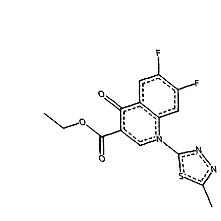 CCOC(=O)c1cn(-c2nnc(C)s2)c2cc(F)c(F)cc2c1=O